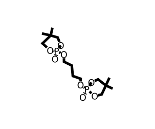 CC1(C)COP(=O)(OCCCCOP2(=O)OCC(C)(C)CO2)OC1